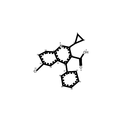 O=C(O)c1c(C2CC2)nc2ccc(Cl)cc2c1-c1ccccc1